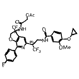 COc1cc(C(=O)NC[C@H](c2cc3c(c(-c4ccc(F)cc4)n2)OC[C@@]3(NC(=O)COC(C)=O)C(F)(F)F)C(F)(F)F)ccc1OC1CC1